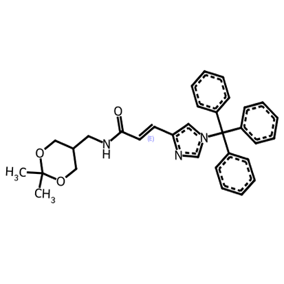 CC1(C)OCC(CNC(=O)/C=C/c2cn(C(c3ccccc3)(c3ccccc3)c3ccccc3)cn2)CO1